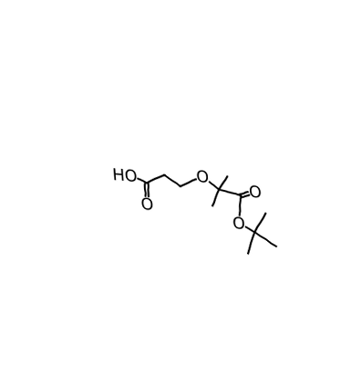 CC(C)(C)OC(=O)C(C)(C)OCCC(=O)O